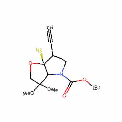 C#CC1CN(C(=O)OC(C)(C)C)C2C(OC)(OC)CO[C@]12S